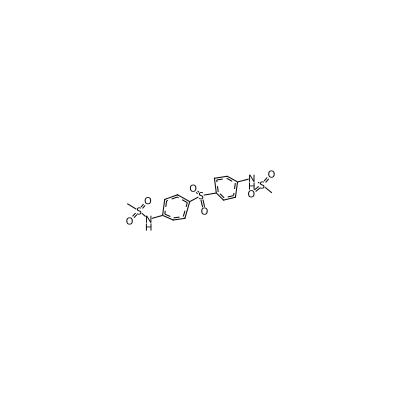 CS(=O)(=O)Nc1ccc(S(=O)(=O)c2ccc(NS(C)(=O)=O)cc2)cc1